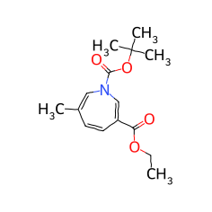 CCOC(=O)C1=CN(C(=O)OC(C)(C)C)C=C(C)C=C1